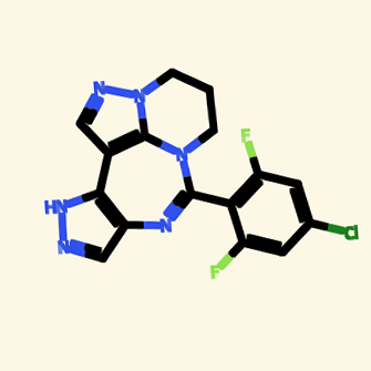 Fc1cc(Cl)cc(F)c1C1=Nc2cn[nH]c2-c2cnn3c2N1CCC3